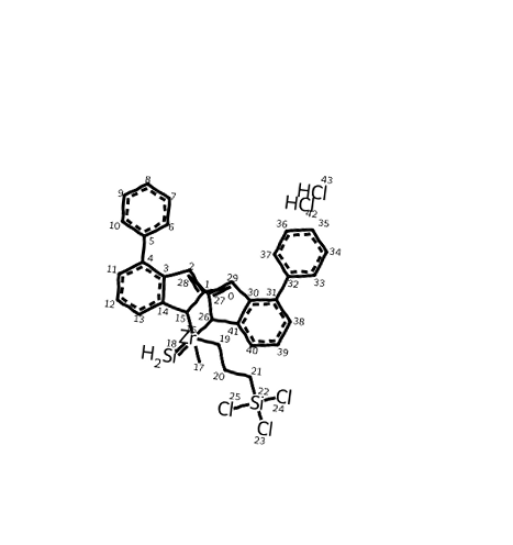 CC1=Cc2c(-c3ccccc3)cccc2[CH]1[Zr]([CH3])(=[SiH2])([CH2]CC[Si](Cl)(Cl)Cl)[CH]1C(C)=Cc2c(-c3ccccc3)cccc21.Cl.Cl